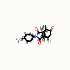 O=C1C[C@H]2CC[C@@H]1[C@H]1C(=O)N(c3ccc(C(F)(F)F)cc3)C(=O)[C@@H]21